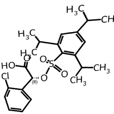 CC(C)c1cc(C(C)C)c(S(=O)(=O)O[C@@H](C(=O)O)c2ccccc2Cl)c(C(C)C)c1